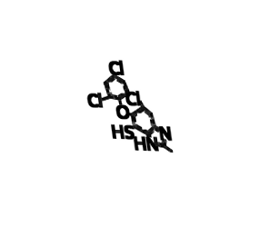 Cc1nc2cc(Cl)c(Oc3ccc(Cl)cc3Cl)c(S)c2[nH]1